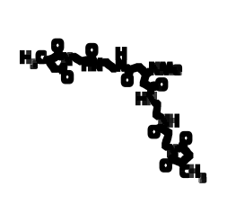 CNC(CC(=O)NCCNC(=O)CCN1C(=O)CC(C)C1=O)CC(=O)NCCNC(=O)CCN1C(=O)CC(C)C1=O